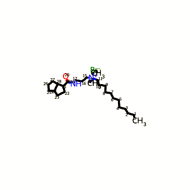 CCCCCCCCCCCC[N+](C)(C)CCCNC(=O)C1CCC2CCCC21.[Br-]